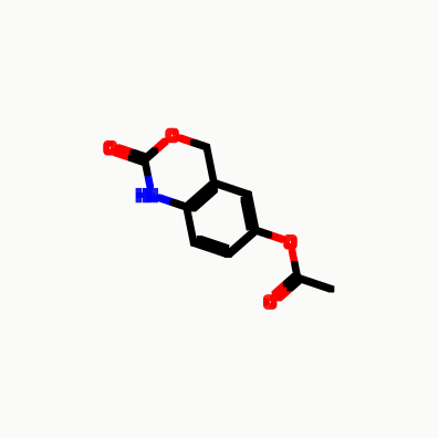 CC(=O)Oc1ccc2c(c1)COC(=O)N2